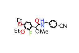 CCOc1ccc(C(OC)C(=O)NCc2ccc(C#N)cc2)c(F)c1OCC